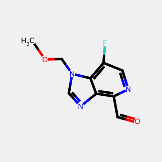 COCn1cnc2c(C=O)ncc(F)c21